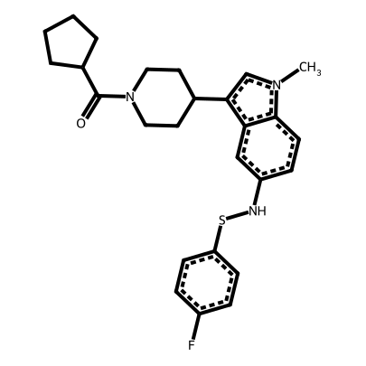 Cn1cc(C2CCN(C(=O)C3CCCC3)CC2)c2cc(NSc3ccc(F)cc3)ccc21